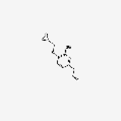 C=CCc1ccc(OCC2CO2)c(C(C)(C)C)c1